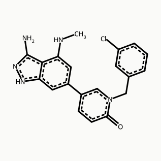 CNc1cc(-c2ccc(=O)n(Cc3cccc(Cl)c3)c2)cc2[nH]nc(N)c12